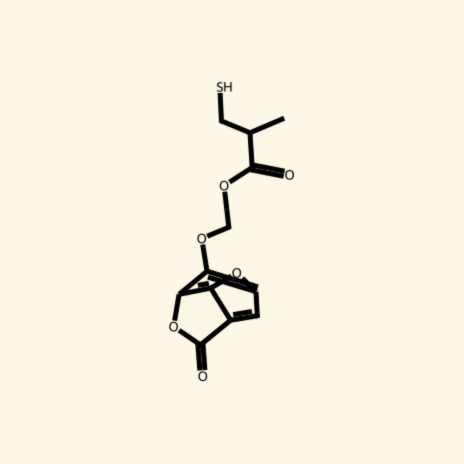 CC(CS)C(=O)OCOc1c2c3oc1cc3C(=O)O2